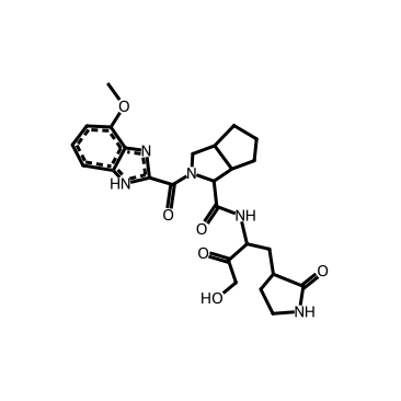 COc1cccc2[nH]c(C(=O)N3CC4CCCC4C3C(=O)NC(CC3CCNC3=O)C(=O)CO)nc12